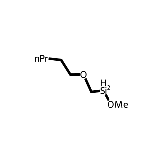 CCCCCOC[SiH2]OC